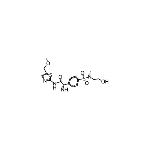 COCc1cnc(NC(=O)C(=N)c2ccc(S(=O)(=O)N(C)CCO)cc2)s1